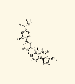 CNC(=O)c1ccc(N2CCN(Cc3ccc4c([nH]c(=O)c5c(C)cnn54)c3C)CC2)c(Cl)n1